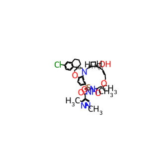 Cc1nn(C)cc1C(=O)N[S@]1(=O)=NC(=O)C(C)(C)OCC=C[C@H](O)[C@@H]2CC[C@H]2CN2C[C@@]3(CCCc4cc(Cl)ccc43)COc3ccc1cc32